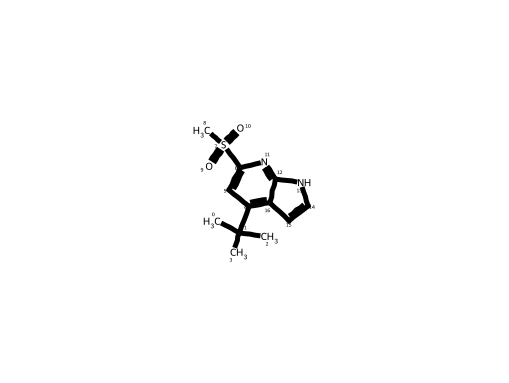 CC(C)(C)c1cc(S(C)(=O)=O)nc2[nH]ccc12